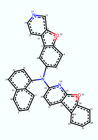 c1ccc2c(N(c3ccc4oc5cnccc5c4c3)c3ccc4c(n3)oc3ccccc34)cccc2c1